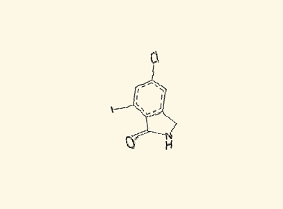 O=C1NCc2cc(Cl)cc(I)c21